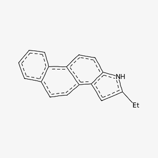 CCc1cc2c(ccc3c4ccccc4ccc23)[nH]1